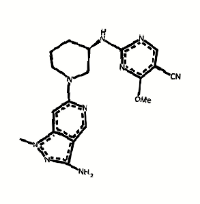 COc1nc(N[C@@H]2CCCN(c3cc4c(cn3)c(N)nn4C)C2)ncc1C#N